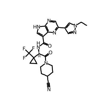 CCn1cc(-c2cnc3[nH]cc(C(=O)N[C@@H](C(=O)N4CCC(C#N)CC4)C4(C(F)(F)F)CC4)c3n2)cn1